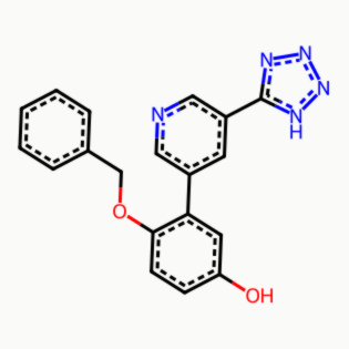 Oc1ccc(OCc2ccccc2)c(-c2cncc(-c3nnn[nH]3)c2)c1